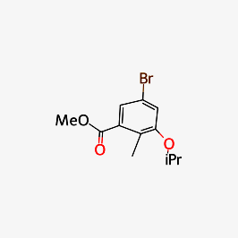 COC(=O)c1cc(Br)cc(OC(C)C)c1C